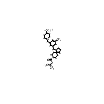 O=C(O)C1CCN(Cc2cc(CN3CCCC34CCN(C(=O)OC(C(F)(F)F)C(F)(F)F)CC4)cc(C(F)(F)F)c2)CC1